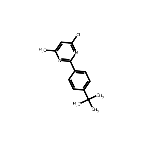 Cc1cc(Cl)nc(-c2ccc(C(C)(C)C)cc2)n1